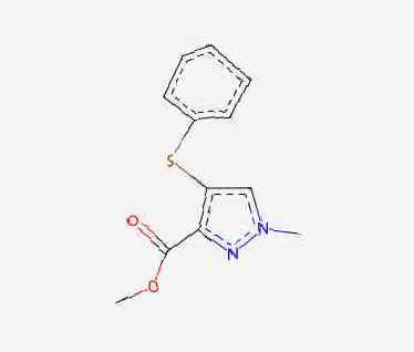 COC(=O)c1nn(C)cc1Sc1ccccc1